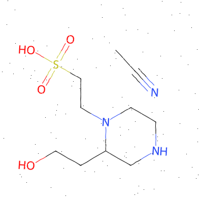 CC#N.O=S(=O)(O)CCN1CCNCC1CCO